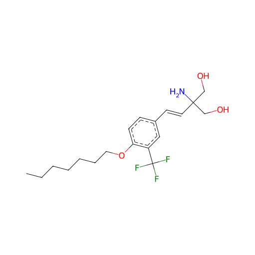 CCCCCCCOc1ccc(/C=C/C(N)(CO)CO)cc1C(F)(F)F